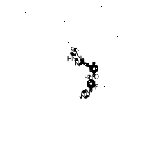 Cc1ccc(C(=O)Nc2ccc(CN3CCN(C)CC3)c(F)c2)cc1C#Cc1cnc(Nc2cscn2)nc1